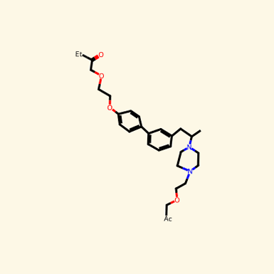 CCC(=O)COCCOc1ccc(-c2cccc(CC(C)N3CCN(CCOCC(C)=O)CC3)c2)cc1